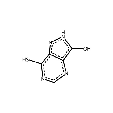 Oc1[nH]nc2c(S)ncnc12